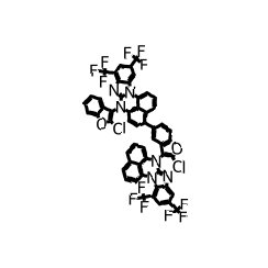 FC(F)(F)c1cc(C(F)(F)F)c2c(c1)nc1n(-c3c(Cl)oc4ccc(-c5ccc6c7c5cccc7n5c7cc(C(F)(F)F)cc(C(F)(F)F)c7nc5n6-c5c(Cl)oc6ccccc56)cc34)c3cccc4cccc(c43)n21